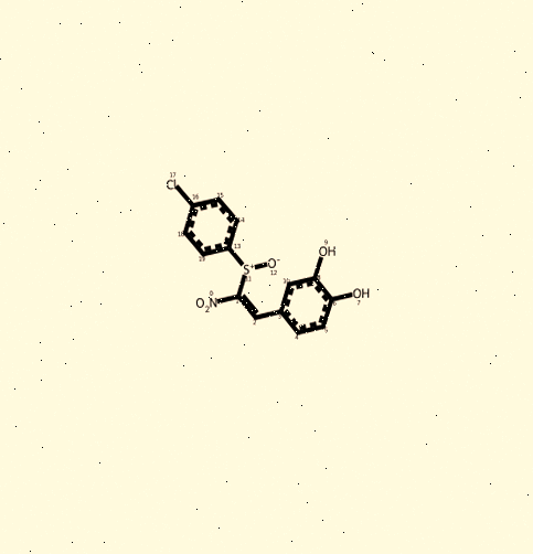 O=[N+]([O-])C(=Cc1ccc(O)c(O)c1)[S+]([O-])c1ccc(Cl)cc1